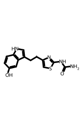 NC(=O)Nc1nc([CH]Cc2c[nH]c3ccc(O)cc23)cs1